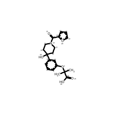 CC(C)(Oc1cccc(C2(O)CCN(C(=O)c3ccco3)CC2)c1)C(=O)O